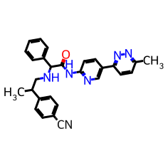 Cc1ccc(-c2ccc(NC(=O)C(NCC(C)c3ccc(C#N)cc3)c3ccccc3)nc2)nn1